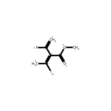 C=C(F)/C(C(=O)OC)=C(\C)I